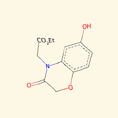 CCOC(=O)CN1C(=O)COc2ccc(O)cc21